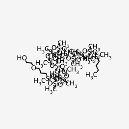 CCCC[Si](C)(C)O[Si](C)(C)O[Si](C)(C)O[Si](C)(C)O[Si](C)(C)O[Si](C)(C)O[Si](C)(C)O[Si](C)(C)O[Si](C)(C)O[Si](C)(C)O[Si](C)(C)O[Si](C)(C)O[Si](C)(C)CCCOCCO